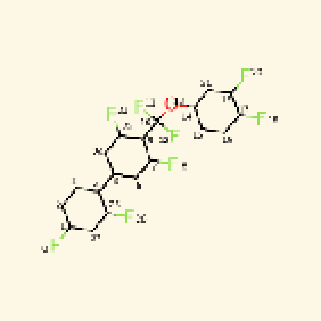 FC1CCC(C2CC(F)C(C(F)(F)OC3CCC(F)C(F)C3)C(F)C2)C(F)C1